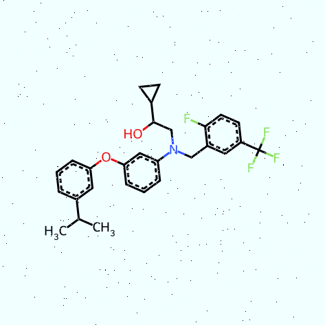 CC(C)c1cccc(Oc2cccc(N(Cc3cc(C(F)(F)F)ccc3F)CC(O)C3CC3)c2)c1